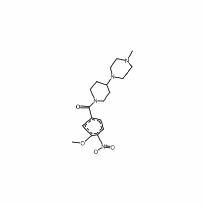 COc1cc(C(=O)N2CCC(N3CCN(C)CC3)CC2)ccc1[N+](=O)[O-]